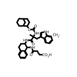 CC(Cc1c[nH]c2ccccc12)(NC(=O)OC1CCC2CCCC1C2)C(=O)NC1CCc2ccccc2C1NC(=O)CCC(=O)O.[CH2]